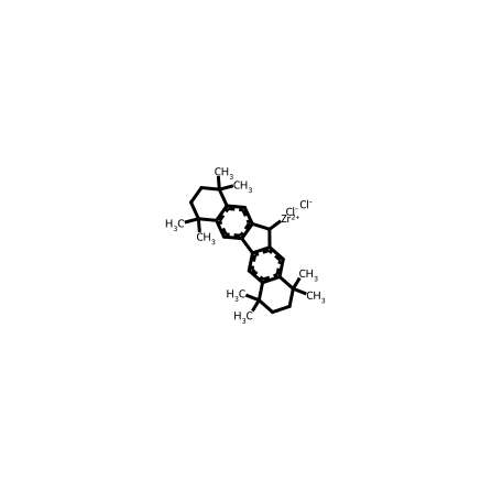 CC1(C)CCC(C)(C)c2cc3c(cc21)-c1cc2c(cc1[CH]3[Zr+2])C(C)(C)CCC2(C)C.[Cl-].[Cl-]